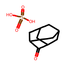 O=C1C2CC3CC(C2)CC1C3.O=S(=O)(O)O